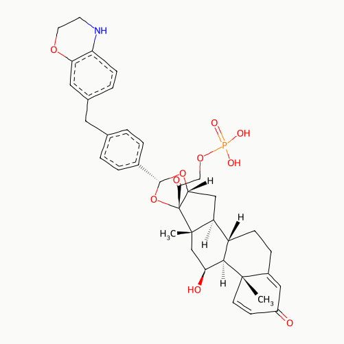 C[C@]12C=CC(=O)C=C1CC[C@@H]1[C@@H]2[C@@H](O)C[C@@]2(C)[C@H]1C[C@H]1O[C@@H](c3ccc(Cc4ccc5c(c4)OCCN5)cc3)O[C@]12C(=O)COP(=O)(O)O